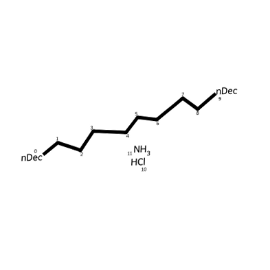 CCCCCCCCCCCCCCCCCCCCCCCCCCCC.Cl.N